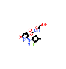 Cc1ccc(Nc2c(OC(=O)NOCCO)ccc(=O)n2C)c(F)c1